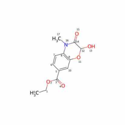 CCOC(=O)c1ccc2c(c1)OC(O)C(=O)N2C